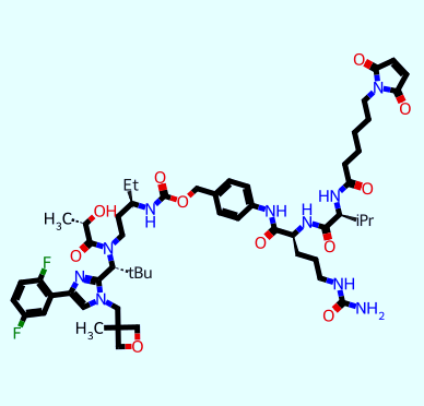 CC[C@H](CCN(C(=O)[C@H](C)O)[C@@H](c1nc(-c2cc(F)ccc2F)cn1CC1(C)COC1)C(C)(C)C)NC(=O)OCc1ccc(NC(=O)[C@H](CCCNC(N)=O)NC(=O)[C@@H](NC(=O)CCCCCN2C(=O)C=CC2=O)C(C)C)cc1